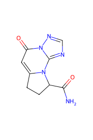 NC(=O)C1CCc2cc(=O)n3ncnc3n21